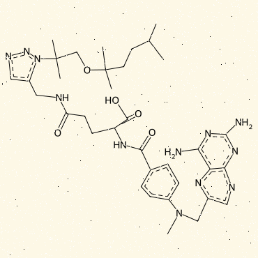 CC(C)CCC(C)(C)OCC(C)(C)n1nncc1CNC(=O)CCC(NC(=O)c1ccc(N(C)Cc2cnc3nc(N)nc(N)c3n2)cc1)C(=O)O